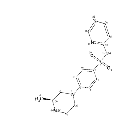 C[C@H]1CN(c2ccc(S(=O)(=O)Nc3ccncn3)cc2)CCN1